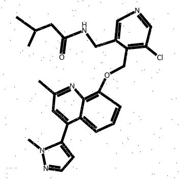 Cc1cc(-c2ccnn2C)c2cccc(OCc3c(Cl)cncc3CNC(=O)CC(C)C)c2n1